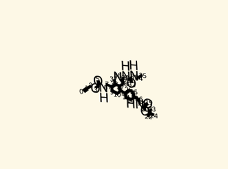 C#CCOC(=O)NCc1ccc(-c2ccc(CNC(=O)OC(C)(C)C)cc2)c2cc(NC(=O)NCC)ncc12